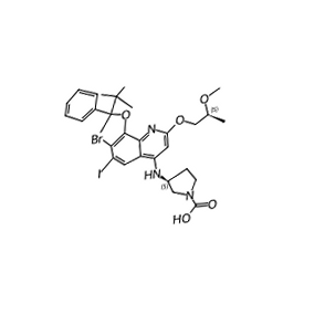 CO[C@@H](C)COc1cc(N[C@H]2CCN(C(=O)O)C2)c2cc(I)c(Br)c(OC(C)(c3ccccc3)C(C)(C)C)c2n1